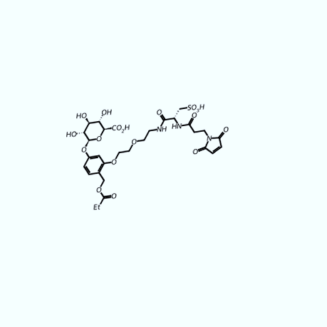 CCC(=O)OCc1ccc(O[C@@H]2O[C@H](C(=O)O)[C@@H](O)[C@H](O)[C@H]2O)cc1OCCOCCNC(=O)[C@H](CS(=O)(=O)O)NC(=O)CCN1C(=O)C=CC1=O